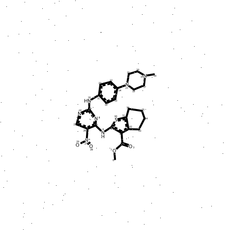 COC(=O)c1c(Nc2nc(Nc3ccc(N4CCN(C)CC4)cc3)ncc2[N+](=O)[O-])sc2c1CCCC2